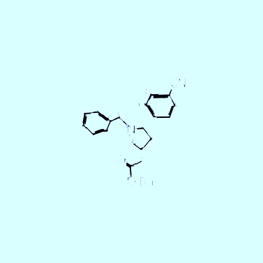 CC(C)COC(=O)C[C@H]1C[C@@H](c2ccc(C#N)cc2)N(Cc2ccccc2)O1